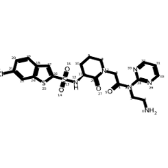 NCCN(C(=O)CN1CCC[C@H](NS(=O)(=O)c2cc3ccc(Cl)cc3s2)C1=O)c1ncccn1